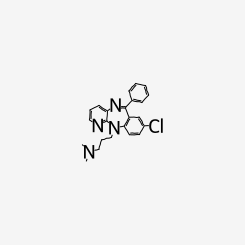 CN(C)CCCN1c2ccc(Cl)cc2C(c2ccccc2)=Nc2cccnc21